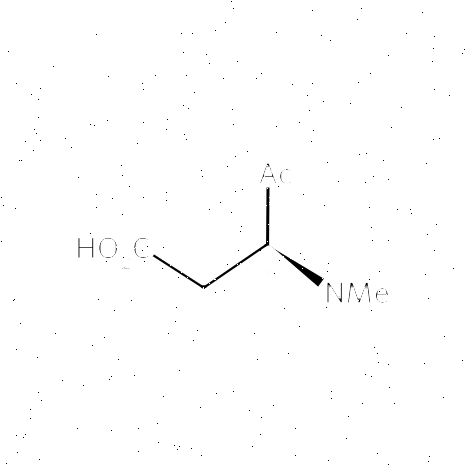 CN[C@@H](CC(=O)O)C(C)=O